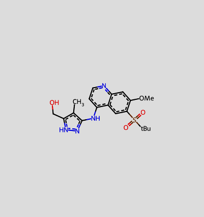 COc1cc2nccc(Nc3n[nH]c(CO)c3C)c2cc1S(=O)(=O)C(C)(C)C